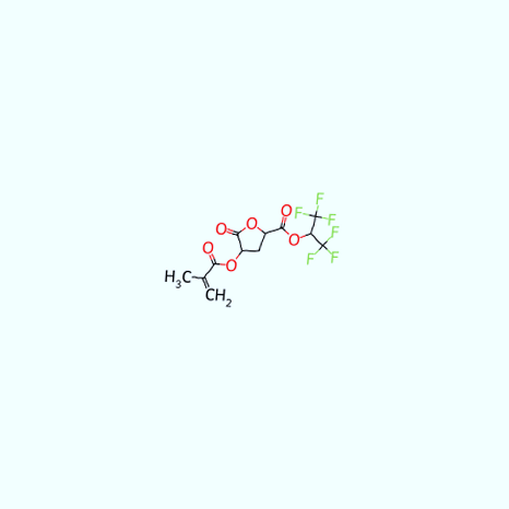 C=C(C)C(=O)OC1CC(C(=O)OC(C(F)(F)F)C(F)(F)F)OC1=O